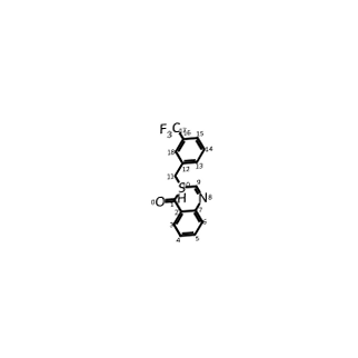 O=C1c2ccccc2N=C[SH]1Cc1cccc(C(F)(F)F)c1